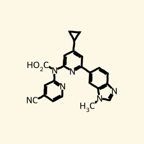 Cn1cnc2ccc(-c3cc(C4CC4)cc(N(C(=O)O)c4cc(C#N)ccn4)n3)cc21